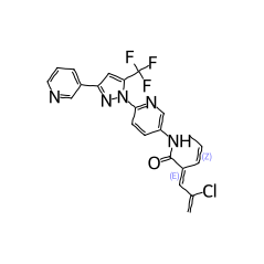 C=C(Cl)/C=C(\C=C/C)C(=O)Nc1ccc(-n2nc(-c3cccnc3)cc2C(F)(F)F)nc1